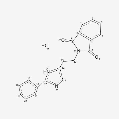 Cl.O=C1c2ccccc2C(=O)N1CCc1cnc(-c2ccccc2)[nH]1